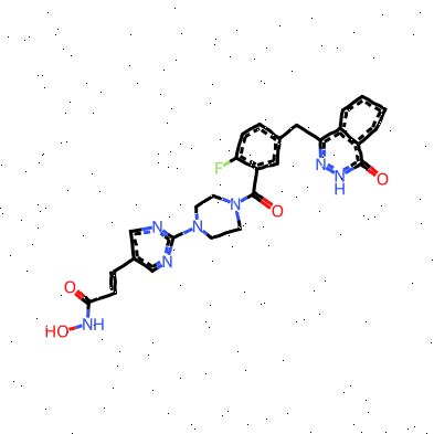 O=C(/C=C/c1cnc(N2CCN(C(=O)c3cc(Cc4n[nH]c(=O)c5ccccc45)ccc3F)CC2)nc1)NO